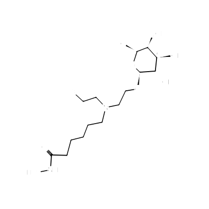 CNC(=O)CCCCCN(CCO)CCO[C@H]1O[C@@H](C)[C@@H](O)[C@@H](O)[C@@H]1O